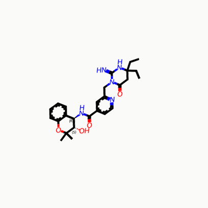 CCC1(CC)CC(=O)N(Cc2cc(C(=O)N[C@@H]3c4ccccc4OC(C)(C)[C@H]3O)ccn2)C(=N)N1